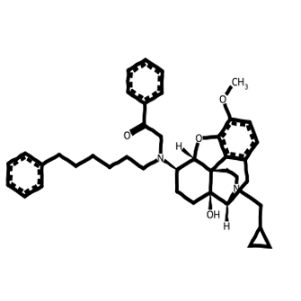 COc1ccc2c3c1O[C@H]1[C@H](N(CCCCCCc4ccccc4)CC(=O)c4ccccc4)CC[C@@]4(O)[C@@H](C2)N(CC2CC2)CC[C@]314